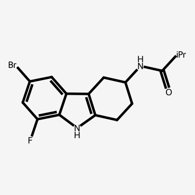 CC(C)C(=O)NC1CCc2[nH]c3c(F)cc(Br)cc3c2C1